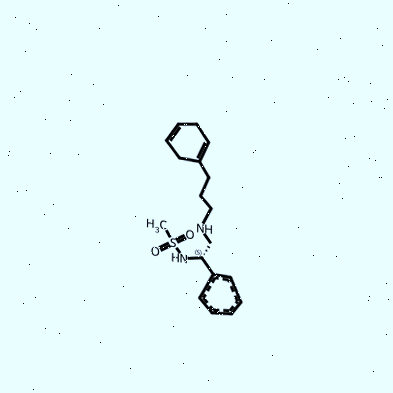 CS(=O)(=O)N[C@H](CNCCCC1=CCC=CC1)c1ccccc1